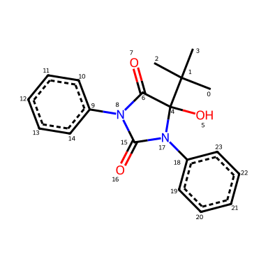 CC(C)(C)C1(O)C(=O)N(c2ccccc2)C(=O)N1c1ccccc1